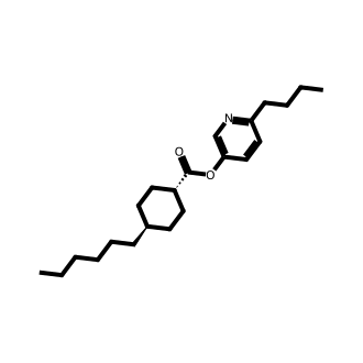 CCCCCC[C@H]1CC[C@H](C(=O)Oc2ccc(CCCC)nc2)CC1